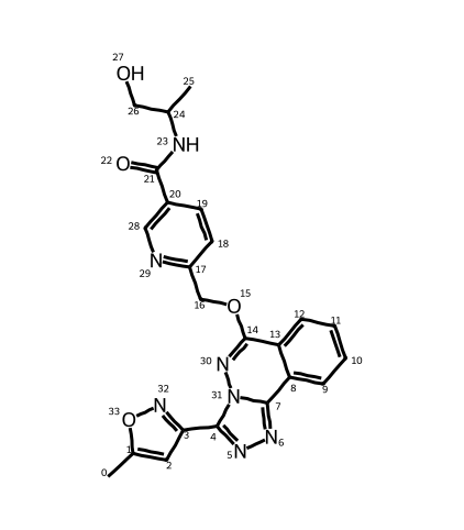 Cc1cc(-c2nnc3c4ccccc4c(OCc4ccc(C(=O)NC(C)CO)cn4)nn23)no1